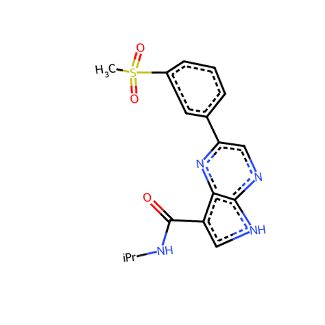 CC(C)NC(=O)c1c[nH]c2ncc(-c3cccc(S(C)(=O)=O)c3)nc12